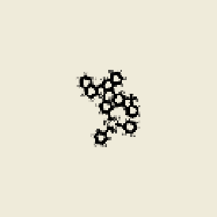 CC1(C)c2ccccc2-c2ccc(-c3c4ccccc4cc4c5c6ccccc6ccc5n(-c5ccc(-c6nc(-c7ccccc7)nc(-c7ccccc7)n6)cc5)c34)cc21